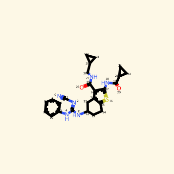 N#CN=C(Nc1ccccc1)NC1CCc2sc(NC(=O)C3CC3)c(C(=O)NCC3CC3)c2C1